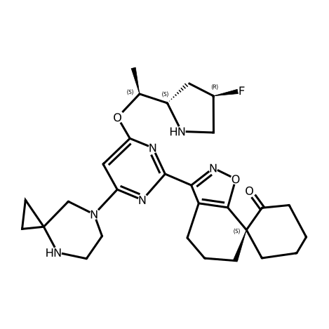 C[C@H](Oc1cc(N2CCNC3(CC3)C2)nc(-c2noc3c2CCC[C@@]32CCCCC2=O)n1)[C@@H]1C[C@@H](F)CN1